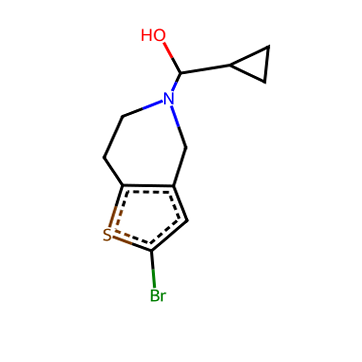 OC(C1CC1)N1CCc2sc(Br)cc2C1